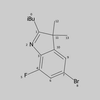 CCC(C)C1=Nc2c(F)cc(Br)cc2C1(C)C